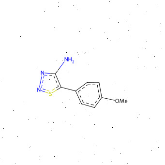 COc1ccc(-c2snnc2N)cc1